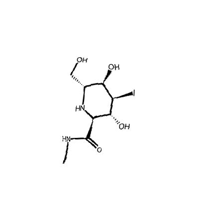 CNC(=O)[C@H]1N[C@H](CO)[C@@H](O)[C@@H](I)[C@@H]1O